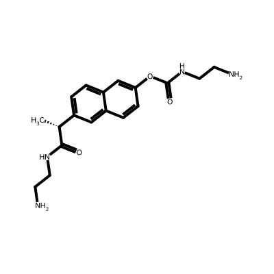 C[C@@H](C(=O)NCCN)c1ccc2cc(OC(=O)NCCN)ccc2c1